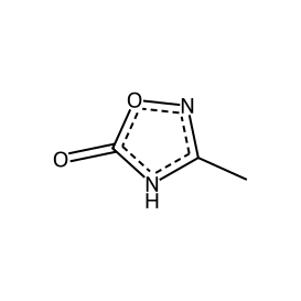 Cc1noc(=O)[nH]1